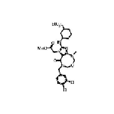 CCOC(=O)C1CCCC(Nc2nc3c(n2CC(=O)OC)C(=O)N(Cc2ccc(Cl)c(Cl)c2)COCN3C)C1